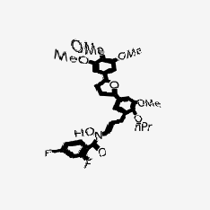 CCCOc1c(CC=CN(O)C(=O)c2ccc(F)cc2F)cc(C2CCC(c3cc(OC)c(OC)c(OC)c3)O2)cc1OC